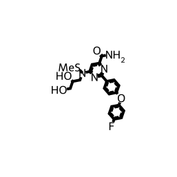 CSN(CC(O)CO)c1cc(C(N)=O)nc(-c2ccc(Oc3ccc(F)cc3)cc2)n1